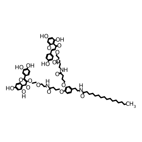 CCCCCCCCCCCCCCCC(=O)NCCc1ccc(OCCCC(=O)NCCOCCOc2c(-c3ccc(O)c(O)c3)oc3cc(O)cc(O)c3c2=O)c(OCCCC(=O)NCCOCCOc2c(-c3ccc(O)c(O)c3)oc3cc(O)cc(O)c3c2=O)c1